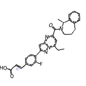 CCc1cc(C(=O)N2CCCc3ccccc3C2C)nc2cc(-c3ccc(/C=C/C(=O)O)cc3F)nn12